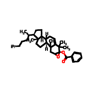 CC(C)CCC[C@@H](C)[C@H]1CC[C@H]2[C@@H]3CC=C4C(C)(C)[C@]5(OC(=O)c6ccccc6)OC5C[C@]4(C)[C@H]3CC[C@]12C